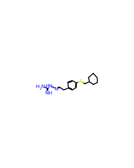 N=C(N)NN=CCc1ccc(SCC2CCCCC2)cc1